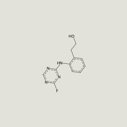 OCCc1ccccc1Nc1n[c]nc(F)n1